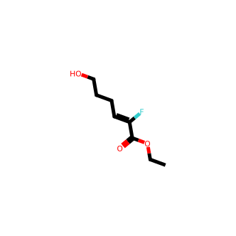 CCOC(=O)C(F)=CCCCO